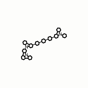 c1ccc(-n2c3ccccc3c3cc(-c4ccc(-c5ccc(-c6ccc(-c7ccc8c(c7)c7ccccc7n8-c7ccc8c9cccc%10c%11ccccc%11n(c8c7)c%109)cc6)cc5)cc4)ccc32)cc1